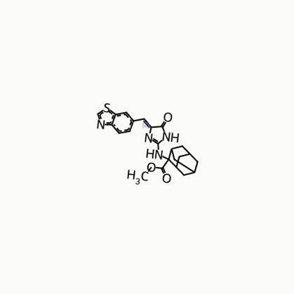 COC(=O)C1(NC2=N/C(=C\c3ccc4ncsc4c3)C(=O)N2)C2CC3CC(C2)CC1C3